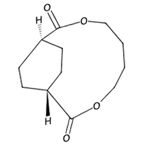 O=C1OCCCCOC(=O)[C@H]2CC[C@H]1CC2